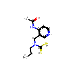 CC(C)(C)C(=O)Nc1ccncc1CN(CCC#N)C(=S)S